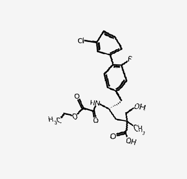 CCOC(=O)C(=O)N[C@H](Cc1ccc(-c2cccc(Cl)c2)c(F)c1)CC(C)(CO)C(=O)O